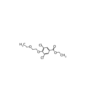 CCOCCOc1c(Cl)cc(C(=O)OCC)cc1Cl